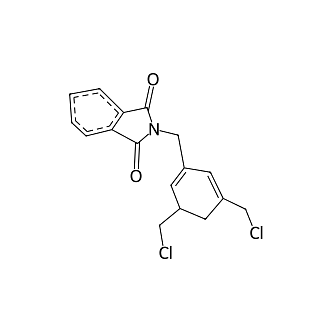 O=C1c2ccccc2C(=O)N1CC1=CC(CCl)CC(CCl)=C1